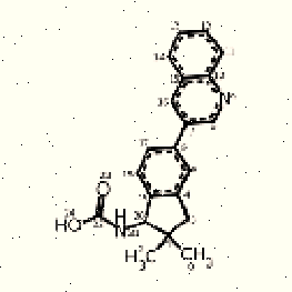 CC1(C)Cc2cc(-c3cnc4ccccc4c3)ccc2C1NC(=O)O